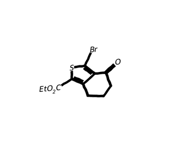 CCOC(=O)c1sc(Br)c2c1CCCC2=O